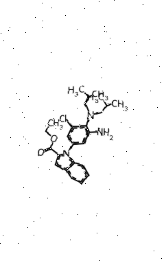 CCOC(=O)c1cc2ccccc2n1-c1cc(N)c(N(CC(C)C)CC(C)C)c(Cl)c1